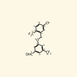 O=Cc1cc(OCc2cc(Cl)ccc2C(F)(F)F)cc(C(F)(F)F)c1